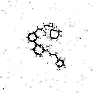 CCN(Cc1cccc(-c2ccnc(NCCc3cccs3)n2)c1)C[C@H]1CCCNC1